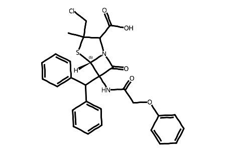 CC1(CCl)S[C@@H]2N(C(=O)C2(NC(=O)COc2ccccc2)C(c2ccccc2)c2ccccc2)C1C(=O)O